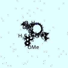 COc1ccc2nc(C)c3c(c2c1)CC[C@]1(C[C@H]2C(=O)N[C@]4(C(=O)NS(=O)(=O)C5(C)CC5)C[C@H]4/C=C\CCCCC[C@H](NC(=O)OC4(C5CC5)CC4)C(=O)N2C1)O3